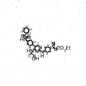 CCOC(=O)N=[SH](=O)c1ccc(Nc2ncc(-c3ccc(NS(=O)(=O)c4ccccc4)cc3)c(NC(C)CO)n2)cc1